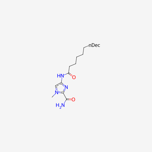 CCCCCCCCCCCCCCCC(=O)Nc1cn(C)c(C(N)=O)n1